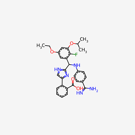 CCOc1cc(OC(C)C)c(F)c(C(Nc2ccc(C(=N)N)cc2)c2nc(-c3ccccc3C(=O)O)c[nH]2)c1